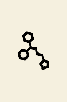 C(=NN=C(c1ccccc1)c1ccccc1)c1ccoc1